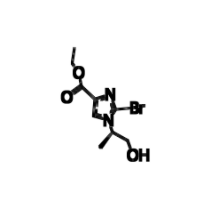 CCOC(=O)c1cn([C@H](C)CO)c(Br)n1